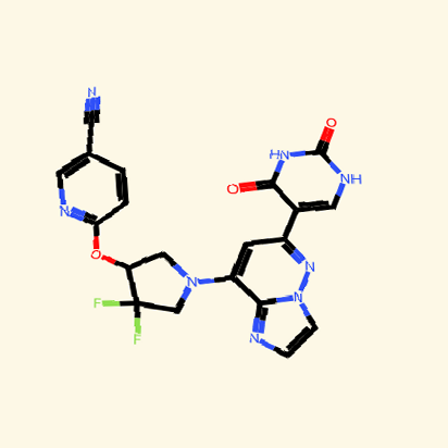 N#Cc1ccc(OC2CN(c3cc(-c4c[nH]c(=O)[nH]c4=O)nn4ccnc34)CC2(F)F)nc1